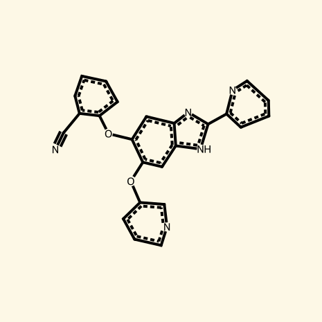 N#Cc1ccccc1Oc1cc2nc(-c3ccccn3)[nH]c2cc1Oc1cccnc1